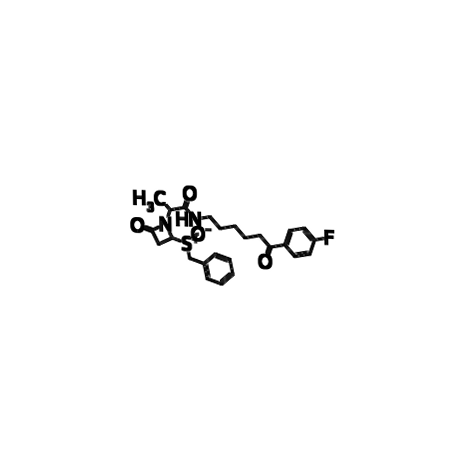 CC(C(=O)NCCCCCC(=O)c1ccc(F)cc1)N1C(=O)CC1[S+]([O-])Cc1ccccc1